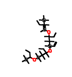 C=C[Si](C)(OC(C)(CC)C(C)(C)[Si](C)(C)OC(CC)[Si](C)(C)C)C(C)(C)C(C)(CC)O[SiH](C)C(C)(CC)[Si](C)(C)C